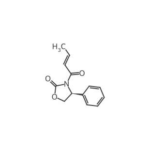 CC=CC(=O)N1C(=O)OC[C@@H]1c1ccccc1